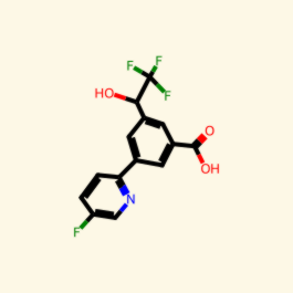 O=C(O)c1cc(-c2ccc(F)cn2)cc(C(O)C(F)(F)F)c1